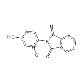 Cc1ccc(N2C(=O)c3ccccc3C2=O)[n+]([O-])c1